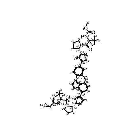 COC(=O)N[C@H](C(=O)N1CCC[C@H]1c1ncc(-c2ccc3c(c2)Oc2ccc(-c4cnc([C@@H]5CCCN5C(=O)[C@@H](NC(=O)CO)C(C)(C)C)[nH]4)c4ccn-3c24)[nH]1)C(C)(C)C